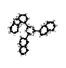 c1ccc2cc(-c3nc(-c4ccc5ccccc5c4)nc(-c4cccc5sc6ccccc6c45)n3)ccc2c1